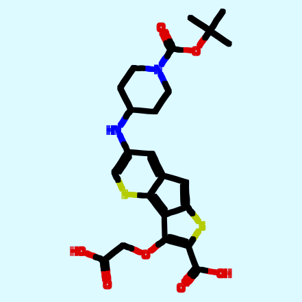 CC(C)(C)OC(=O)N1CCC(Nc2csc3c4c(OCC(=O)O)c(C(=O)O)sc4cc-3c2)CC1